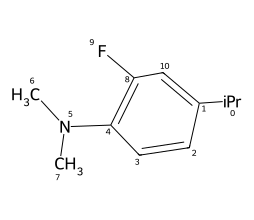 CC(C)c1ccc(N(C)C)c(F)c1